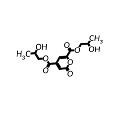 CC(O)COC(=O)c1cc(C(=O)OCC(C)O)oc(=O)c1